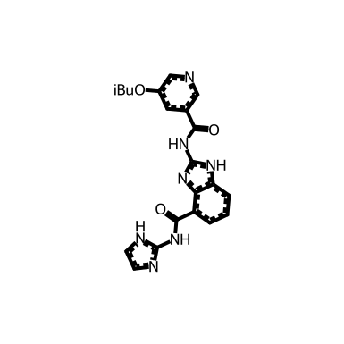 CC(C)COc1cncc(C(=O)Nc2nc3c(C(=O)Nc4ncc[nH]4)cccc3[nH]2)c1